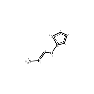 NN=COc1cccs1